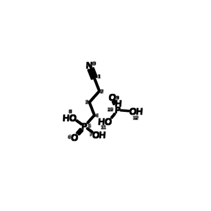 N#CCCCP(=O)(O)O.O=[PH](O)O